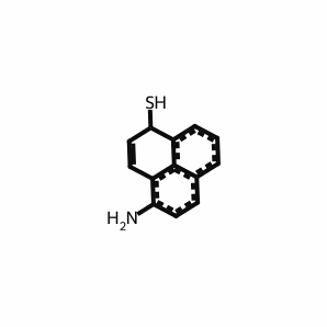 Nc1ccc2cccc3c2c1C=CC3S